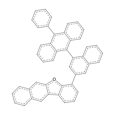 c1ccc(-c2c3ccccc3c(-c3cc(-c4cccc5c4oc4cc6ccccc6cc45)cc4ccccc34)c3ccccc23)cc1